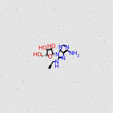 C#CCNc1nc2c(N)ncnc2n1[C@@H]1O[C@H](CO)[C@@H](O)[C@H]1O